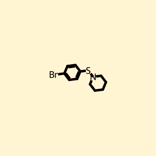 Brc1ccc(SN2CCCCC2)cc1